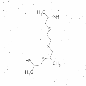 CC(S)CSCCSCC(C)SCC(C)S